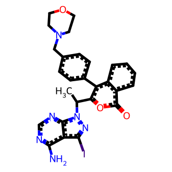 CC(c1oc(=O)c2ccccc2c1-c1ccc(CN2CCOCC2)cc1)n1nc(I)c2c(N)ncnc21